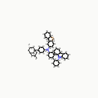 C[C@H]1CC2C[C@H](C)CC(c3ccc(N(c4ccc(-c5ccccc5-n5c6ccccc6c6ccccc65)cc4)c4ccc5sc6ccccc6c5c4)cc3)(C2)C1